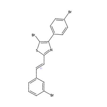 Brc1ccc(-c2nc(/C=C/c3cccc(Br)c3)sc2Br)cc1